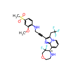 COc1cc(S(C)(=O)=O)ccc1NCC#Cc1nc2c([C@H]3NCCOCC3(F)F)cccn2c1CC(F)(F)F